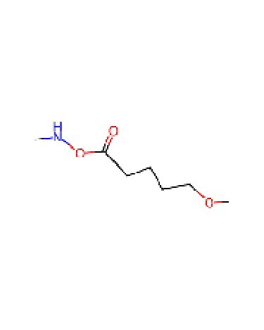 CNOC(=O)CCCCOC